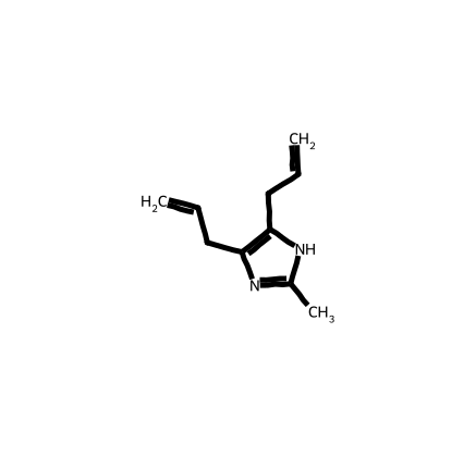 C=CCc1nc(C)[nH]c1CC=C